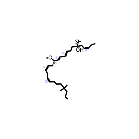 CC/C=C\C[C@](O)(S)CC/C=C/C=C/[C@@H](C/C=C\C/C=C\CCCC(C)(C)CCC)OC